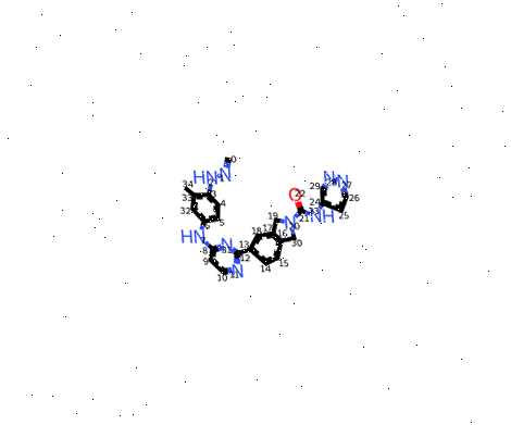 C=NNc1ccc(Nc2ccnc(-c3ccc4c(c3)CN(C(=O)Nc3ccnnc3)C4)n2)cc1C